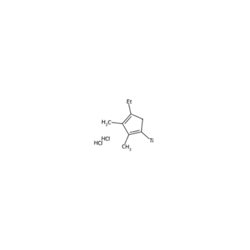 CCC1=C(C)C(C)=[C]([Ti])C1.Cl.Cl